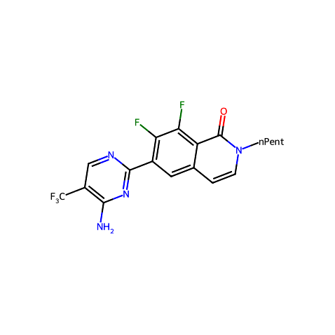 CCCCCn1ccc2cc(-c3ncc(C(F)(F)F)c(N)n3)c(F)c(F)c2c1=O